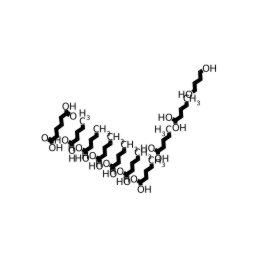 CCCCC(O)O.CCCCC(O)O.CCCCC(O)O.CCCCC(O)O.CCCCC(O)O.CCCCC(O)O.CCCCC(O)O.CCCCC(O)O.O=C(O)CCCCC(=O)O.OCCCCO